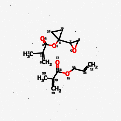 C=C(C)C(=O)OC1(C2CO2)CC1.C=CCOC(=O)C(=C)C